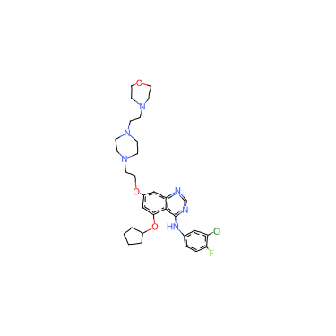 Fc1ccc(Nc2ncnc3cc(OCCN4CCN(CCN5CCOCC5)CC4)cc(OC4CCCC4)c23)cc1Cl